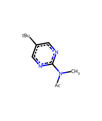 CC(=O)N(C)c1ncc(C(C)(C)C)cn1